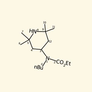 CCCCN(C(=O)OCC)C1CC(C)(C)NC(C)(C)C1